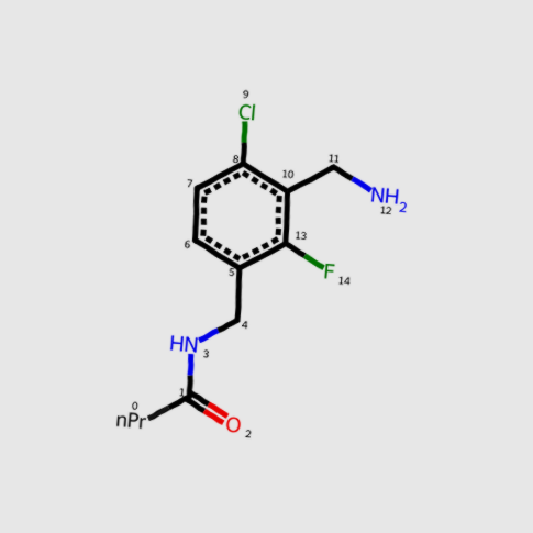 CCCC(=O)NCc1ccc(Cl)c(CN)c1F